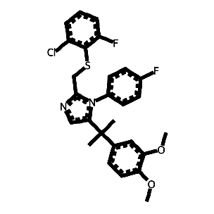 COc1ccc(C(C)(C)c2cnc(CSc3c(F)cccc3Cl)n2-c2ccc(F)cc2)cc1OC